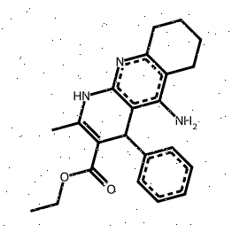 CCOC(=O)C1=C(C)Nc2nc3c(c(N)c2C1c1ccccc1)CCCC3